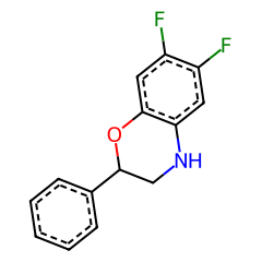 Fc1cc2c(cc1F)OC(c1ccccc1)CN2